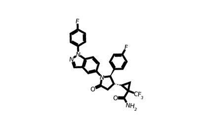 NC(=O)C1(C(F)(F)F)CC1[C@@H]1CC(=O)N(c2ccc3c(cnn3-c3ccc(F)cc3)c2)[C@H]1c1ccc(F)cc1